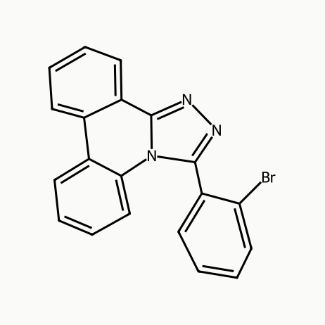 Brc1ccccc1-c1nnc2c3ccccc3c3ccccc3n12